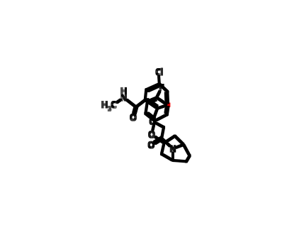 CNC(=O)c1cc(Cl)ccc1OCC(=O)N1C2CCC1CC(Oc1ccc(F)cc1)C2